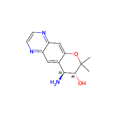 CC1(C)Oc2cc3nccnc3cc2[C@H](N)[C@H]1O